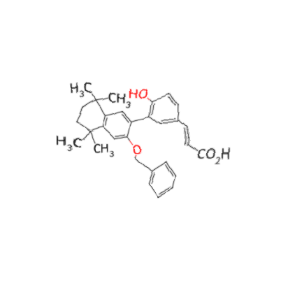 CC1(C)CCC(C)(C)c2cc(-c3cc(C=CC(=O)O)ccc3O)c(OCc3ccccc3)cc21